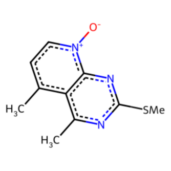 CSc1nc(C)c2c(C)cc[n+]([O-])c2n1